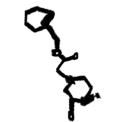 O=C1CN(CC(=O)OCc2ccccc2)CCN1